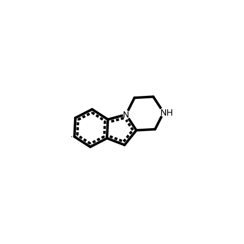 [c]1ccc2c(c1)cc1n2CCNC1